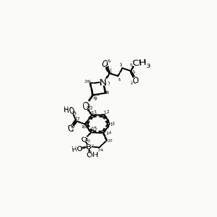 CC(=O)CCC(=O)N1CC(Oc2ccc3c(c2C(=O)O)O[B-](O)(O)CC3)C1